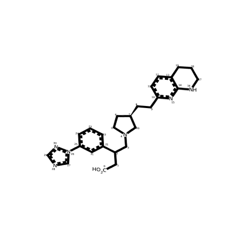 O=C(O)CC(CN1CC[C@@H](CCc2ccc3c(n2)NCCC3)C1)c1cccc(-n2cncn2)c1